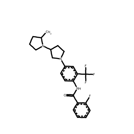 CC1CCCN1C1CCN(c2ccc(NC(=O)c3ccccc3F)c(C(F)(F)F)c2)C1